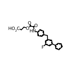 O=C(O)CCOC(=O)C(=O)Nc1ccc(Cc2cc(F)cc(-c3ccccc3)c2)cc1